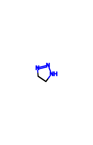 C1CNN=N1